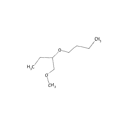 CCCCOC(CC)COC